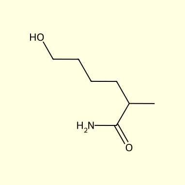 CC(CCCCO)C(N)=O